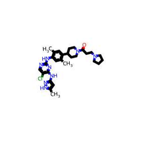 Cc1cc(Nc2nc(Nc3cc(C)c(C4CCN(C(=O)CCN5CCCC5)CC4)cc3C)ncc2Cl)n[nH]1